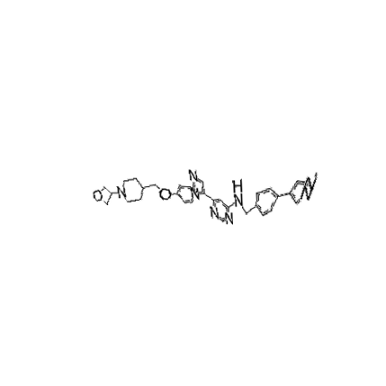 Cn1cc(-c2ccc(CNc3cc(-c4cnc5cc(OCC6CCN(C7COC7)CC6)ccn45)ncn3)cc2)cn1